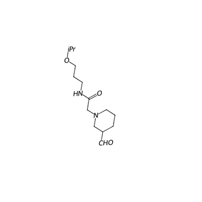 CC(C)OCCCNC(=O)CN1CCCC(C=O)C1